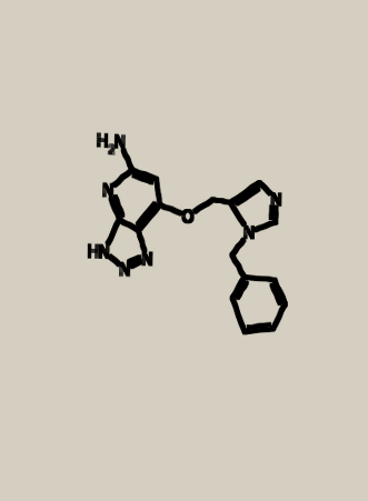 Nc1cc(OCc2cncn2Cc2ccccc2)c2nn[nH]c2n1